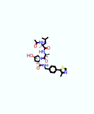 CC(=O)N[C@@](C)(CC(C)C)C(=O)N[C@@H](C)C(=O)N1C[C@H](O)C[C@H]1C(=O)NCc1ccc(-c2scnc2C)cc1